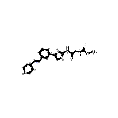 CC(C)(C)OC(=O)NCC(=O)Nc1nc(-c2cccc(/C=C/c3ccncc3)c2)cs1